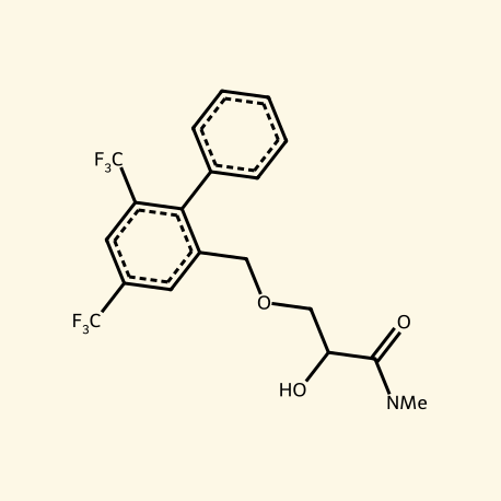 CNC(=O)C(O)COCc1cc(C(F)(F)F)cc(C(F)(F)F)c1-c1ccccc1